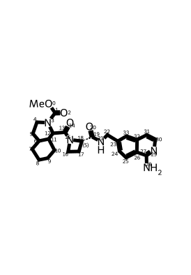 COC(=O)N1CCC2CCCCC2C1C(=O)N1CC[C@H]1C(=O)NCc1ccc2c(N)nccc2c1